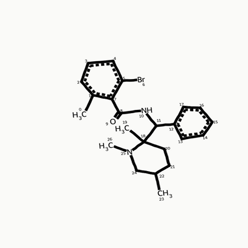 Cc1cccc(Br)c1C(=O)NC(c1ccccc1)C1(C)CCC(C)CN1C